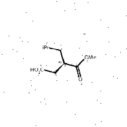 COC(=O)[C@@H](CC(=O)O)CC(C)C